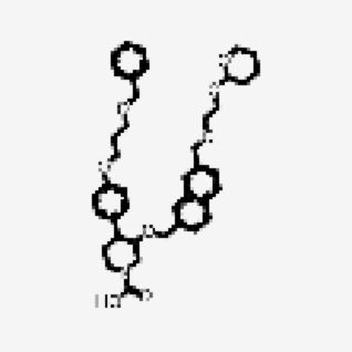 O=C(O)N1CCC(c2ccc(OCCCOCc3ccccc3)cc2)C(OCc2ccc3ccc(COCCOC4CCCCO4)cc3c2)C1